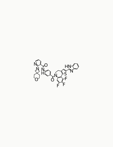 O=C(Nc1ccc(C(=O)N2CCc3cc(-c4nc5ccccc5[nH]4)sc3-c3c2cc(F)c(F)c3F)cc1)c1cccnc1N1CC2(CCOCC2)C1